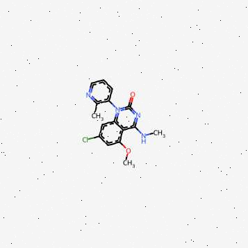 CNc1nc(=O)n(-c2cccnc2C)c2cc(Cl)cc(OC)c12